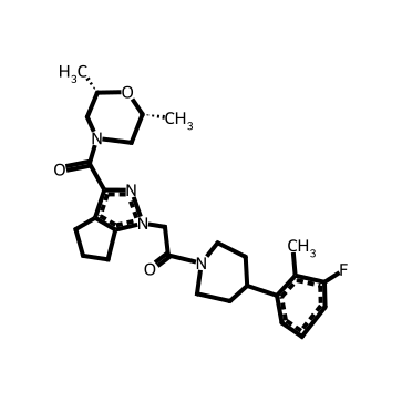 Cc1c(F)cccc1C1CCN(C(=O)Cn2nc(C(=O)N3C[C@@H](C)O[C@@H](C)C3)c3c2CCC3)CC1